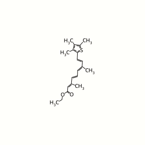 CCOC(=O)/C=C(\C)C=CC=C(C)C=Cc1sc(C)c(C)c1C